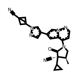 C[C@@H]1CN(c2ccnn3cc(-c4cnn(C56CC(C#N)(C5)C6)c4)cc23)C(=O)[C@]1(C#N)C1CC1